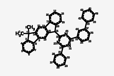 CC1(C)c2ccccc2-c2cc3c(cc21)-c1ccccc1C3c1nc(-c2ccccc2)nc(-c2cccc(-c3ccccc3)c2)n1